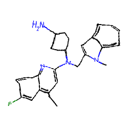 Cc1cc(N(Cc2cc3ccccc3n2C)C2CCC(N)C2)nc2ccc(F)cc12